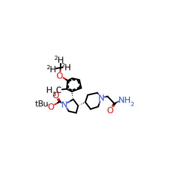 [2H]C([2H])([2H])Oc1cccc([C@@H]2[C@H](C3CCN(CC(N)=O)CC3)CCN2C(=O)OC(C)(C)C)c1C